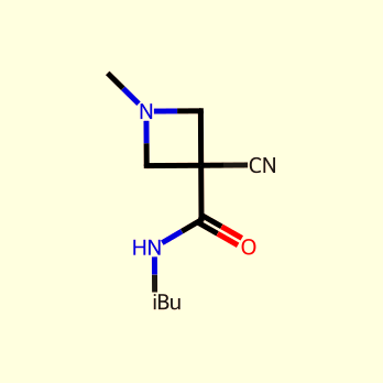 CCC(C)NC(=O)C1(C#N)CN(C)C1